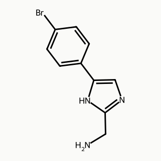 NCc1ncc(-c2ccc(Br)cc2)[nH]1